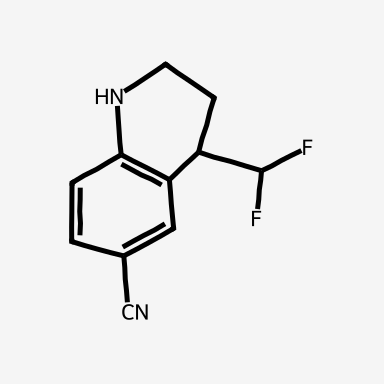 N#Cc1ccc2c(c1)C(C(F)F)CCN2